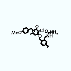 COc1ccc(Cn2c(C)cc(OCc3ccc(F)cc3CNC(N)=O)c(Cl)c2=O)cc1